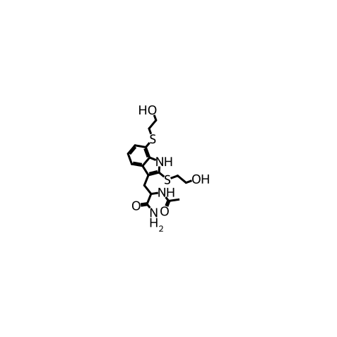 CC(=O)NC(Cc1c(SCCO)[nH]c2c(SCCO)cccc12)C(N)=O